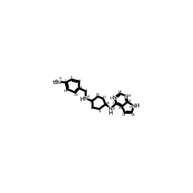 CC(C)(C)c1ccc(CNC2CCC(Nc3ncnc4[nH]c[c]c34)CC2)cc1